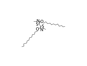 CCCCCCCCCCCCOc1nc(C)sc1-c1sc(C)nc1OCCCCCCCCCCCC